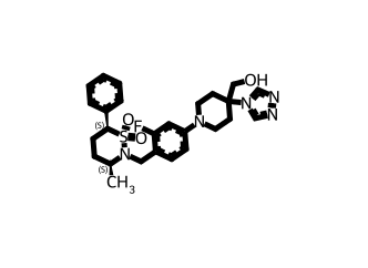 C[C@H]1CC[C@@H](c2ccccc2)S(=O)(=O)N1Cc1ccc(N2CCC(CO)(n3cnnc3)CC2)cc1F